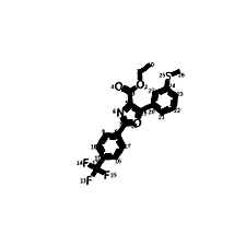 CCOC(=O)c1nc(-c2ccc(C(F)(F)F)cc2)oc1-c1cccc(SC)c1